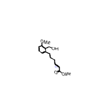 COC(=O)/C=C/CCCc1cccc(OC)c1CO